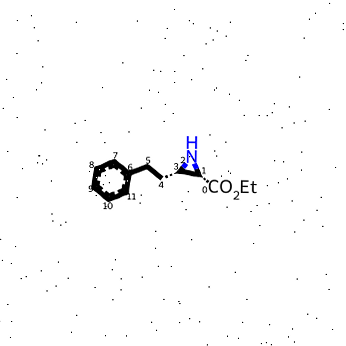 CCOC(=O)[C@H]1N[C@H]1CCc1ccccc1